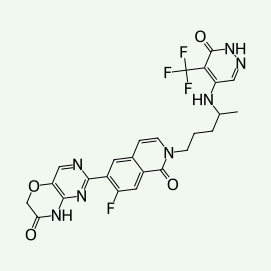 CC(CCCn1ccc2cc(-c3ncc4c(n3)NC(=O)CO4)c(F)cc2c1=O)Nc1cn[nH]c(=O)c1C(F)(F)F